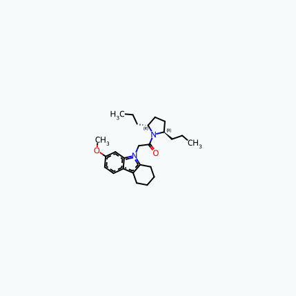 CCC[C@@H]1CC[C@@H](CCC)N1C(=O)Cn1c2c(c3ccc(OC)cc31)CCCC2